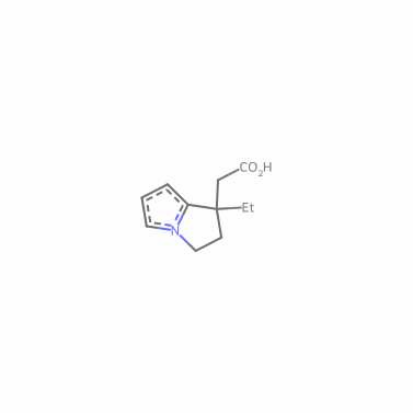 CCC1(CC(=O)O)CCn2cccc21